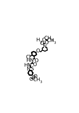 CC(C)(C)OC(=O)N1CCCC(COc2ccc(Cl)c(C(=O)NC(=O)Nc3nc4ccc(S(C)(=O)=O)cc4s3)c2)C1